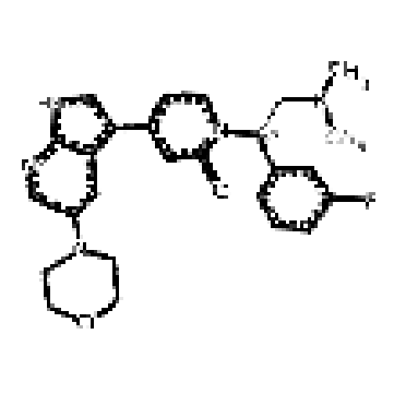 CN(C)C[C@H](c1cccc(F)c1)n1ccc(-c2c[nH]c3ncc(N4CCOCC4)cc23)cc1=O